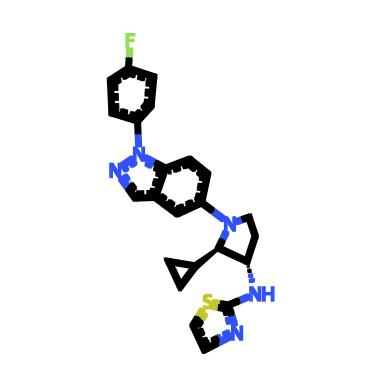 Fc1ccc(-n2ncc3cc(N4CC[C@H](Nc5nccs5)[C@H]4C4CC4)ccc32)cc1